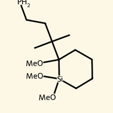 COC1(C(C)(C)CCP)CCCC[Si]1(OC)OC